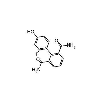 NC(=O)c1cccc(C(N)=O)c1-c1ccc(O)cc1F